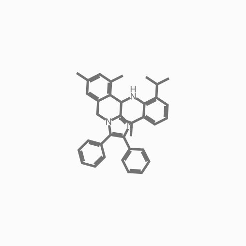 Cc1cc(C)c2c(c1)Cn1c(nc(-c3ccccc3)c1-c1ccccc1)C2Nc1c(C(C)C)cccc1C(C)C